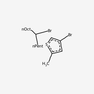 CCCCCCCCC(Br)CCCCC.Cc1cc(Br)cs1